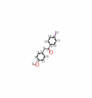 COc1ccc(CC(=O)c2ccc(I)cc2)cc1